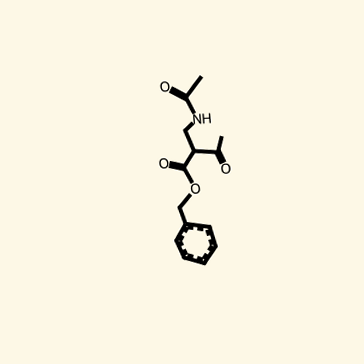 CC(=O)NCC(C(C)=O)C(=O)OCc1ccccc1